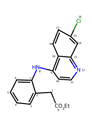 CCOC(=O)Cc1ccccc1Nc1ccnc2cc(Cl)ccc12